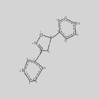 c1cncc(C2=NOC(c3ccncc3)C2)c1